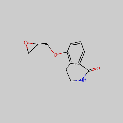 O=C1NCCc2c(OC[C@H]3CO3)cccc21